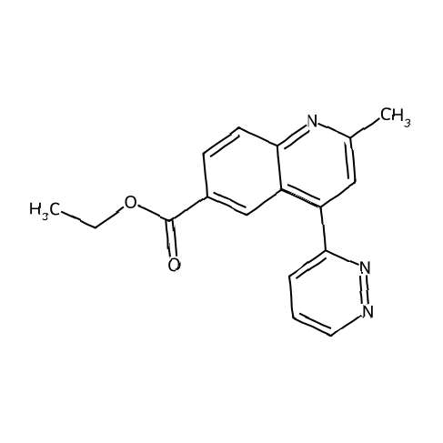 CCOC(=O)c1ccc2nc(C)cc(-c3cccnn3)c2c1